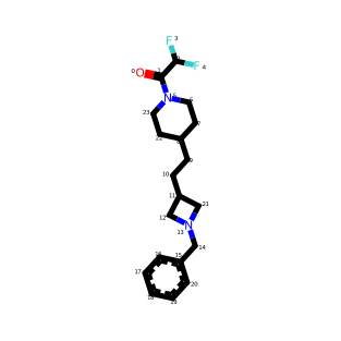 O=C(C(F)F)N1CCC(CCC2CN(Cc3ccccc3)C2)CC1